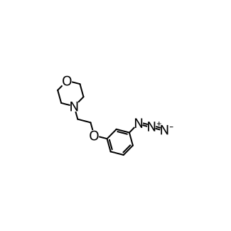 [N-]=[N+]=Nc1cccc(OCCN2CCOCC2)c1